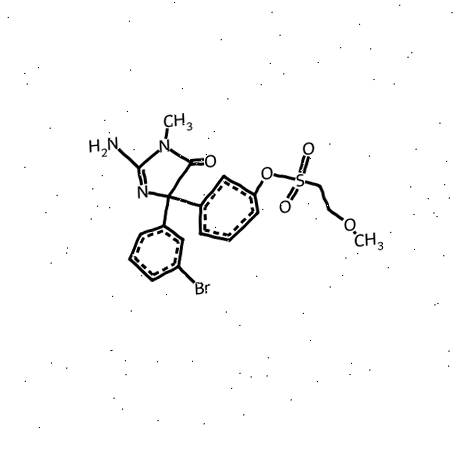 COCCS(=O)(=O)Oc1cccc(C2(c3cccc(Br)c3)N=C(N)N(C)C2=O)c1